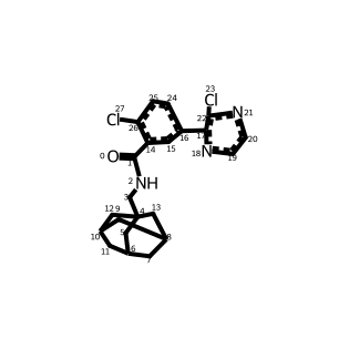 O=C(NCC12CC3CC(CC(C3)C1)C2)c1cc(-c2nccnc2Cl)ccc1Cl